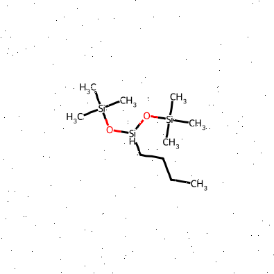 CCC[CH][SiH](O[Si](C)(C)C)O[Si](C)(C)C